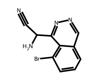 N#CC(N)c1nncc2cccc(Br)c12